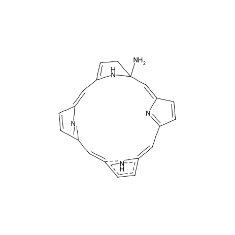 NC12C=C3C=CC(=N3)C=c3ccc([nH]3)=CC3=NC(=CC(=CC1)N2)C=C3